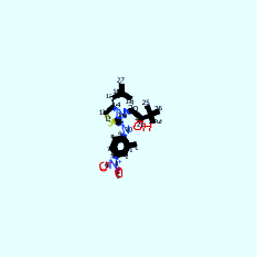 Cc1cc([N+](=O)[O-])ccc1N=C1SC[C@H](CC(C)C)N1CC(O)C(C)(C)C